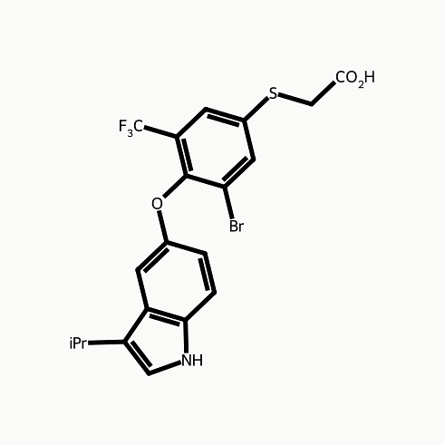 CC(C)c1c[nH]c2ccc(Oc3c(Br)cc(SCC(=O)O)cc3C(F)(F)F)cc12